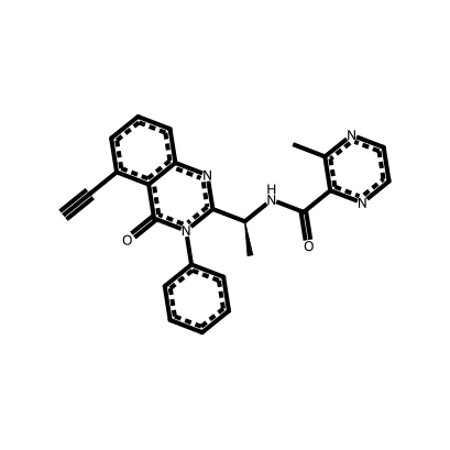 C#Cc1cccc2nc([C@H](C)NC(=O)c3nccnc3C)n(-c3ccccc3)c(=O)c12